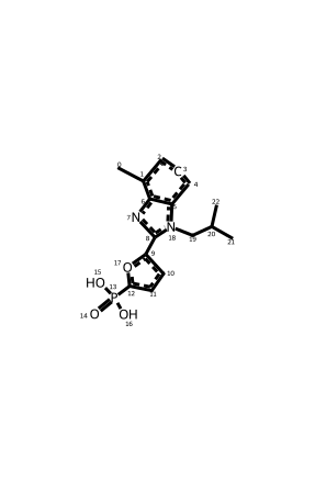 Cc1cccc2c1nc(-c1ccc(P(=O)(O)O)o1)n2CC(C)C